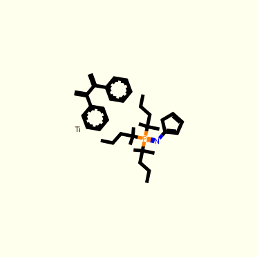 C=C(C(=C)c1ccccc1)c1ccccc1.CCCC(C)(C)P(=NC1=CC=CC1)(C(C)(C)CCC)C(C)(C)CCC.[Ti]